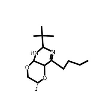 CCCCC1=NC(C(C)(C)C)NC2OC[C@@H](C)OC12